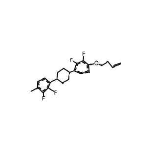 C=CCCOc1ccc(C2CCC(c3ccc(C)c(F)c3F)CC2)c(F)c1F